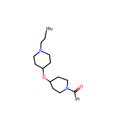 CC(C)C(=O)N1CCC(OC2CCN(CCC(C)(C)C)CC2)CC1